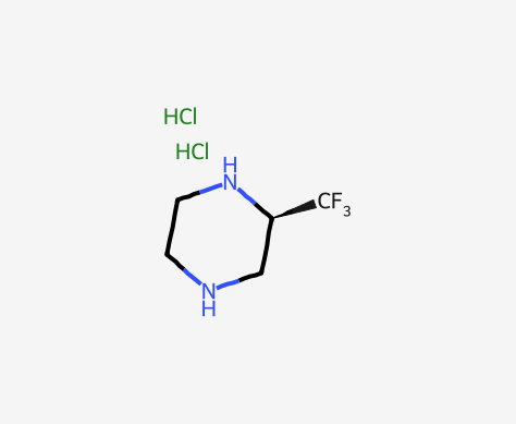 Cl.Cl.FC(F)(F)[C@H]1CNCCN1